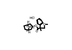 COCC(C)(C(=O)O[C@H]1C[C@H]2CC[C@@H](C1)N2)c1ccccc1.Cl